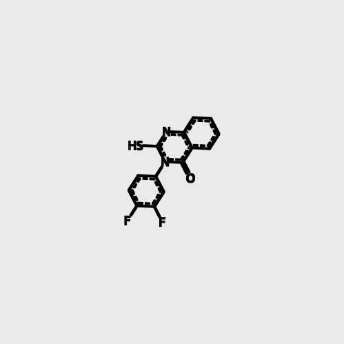 O=c1c2ccccc2nc(S)n1-c1ccc(F)c(F)c1